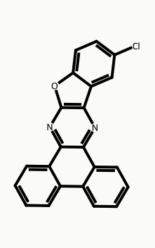 Clc1ccc2oc3nc4c5ccccc5c5ccccc5c4nc3c2c1